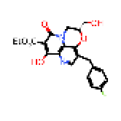 CCOC(=O)c1c(O)c2ncc(Cc3ccc(F)cc3)c3c2n(c1=O)C[C@H](CO)O3